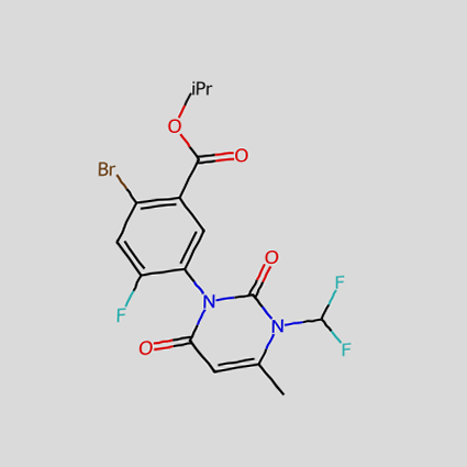 Cc1cc(=O)n(-c2cc(C(=O)OC(C)C)c(Br)cc2F)c(=O)n1C(F)F